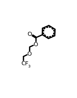 O=C(OCOCC(F)(F)F)c1ccccc1